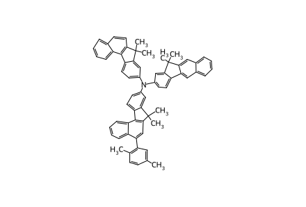 Cc1ccc(C)c(-c2cc3c(c4ccccc24)-c2ccc(N(c4ccc5c(c4)C(C)(C)c4cc6ccccc6cc4-5)c4ccc5c(c4)C(C)(C)c4ccc6ccccc6c4-5)cc2C3(C)C)c1